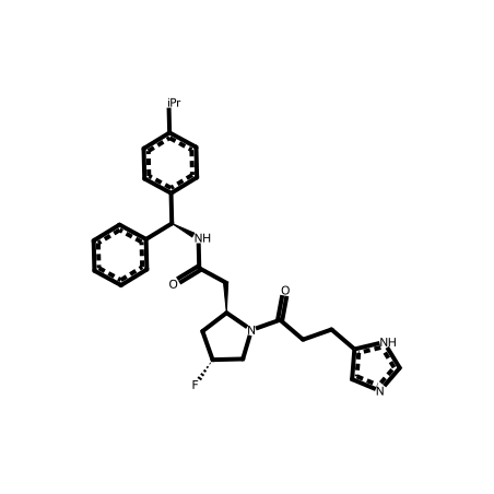 CC(C)c1ccc([C@@H](NC(=O)C[C@@H]2C[C@@H](F)CN2C(=O)CCc2cnc[nH]2)c2ccccc2)cc1